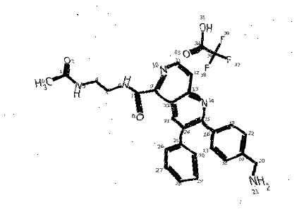 CC(=O)NCCNC(=O)c1nccc2nc(-c3ccc(CN)cc3)c(-c3ccccc3)cc12.O=C(O)C(F)(F)F